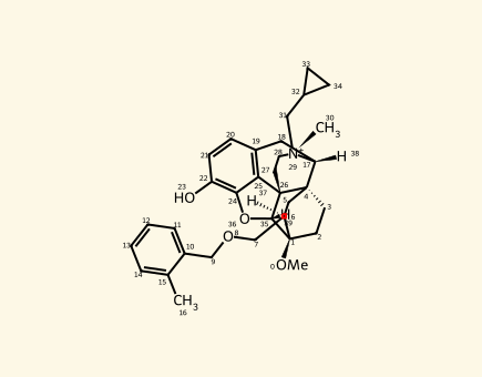 CO[C@]12CC[C@@]3(C[C@@H]1COCc1ccccc1C)[C@H]1Cc4ccc(O)c5c4[C@@]3(CC[N@+]1(C)CC1CC1)[C@H]2O5